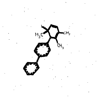 CC1=C(C)C(c2ccc(-c3ccccc3)cc2)C(C)(I)C=C1